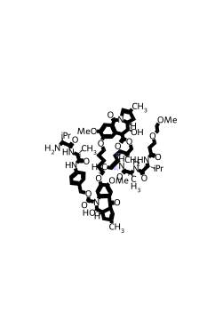 C=C(/C=C\C(=C/C)NC(=O)[C@@H](C)NC(=O)[C@H](NC(=O)CCOCCOC)C(C)C)COC(=O)C1c2cc(OCCCCCOc3cc4c(cc3OC)C(=O)C3C=C(C)C[C@H]3[C@H](O)N4C(=O)OCc3ccc(NC(=O)[C@@H](C)NC(=O)[C@H](N)C(C)C)cc3)c(OC)cc2C(=O)N2C=C(C)C[C@H]2[C@@H]1O